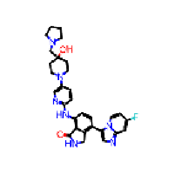 O=C1NCc2c(-c3cnc4cc(F)ccn34)ccc(Nc3ccc(N4CCC(O)(CN5CCCC5)CC4)cn3)c21